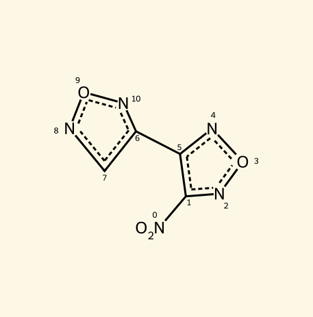 O=[N+]([O-])c1nonc1-c1cnon1